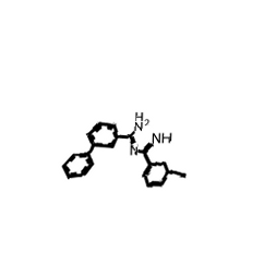 CC1C=CC=C(C(=N)/N=C(\N)c2cccc(-c3ccccc3)c2)C1